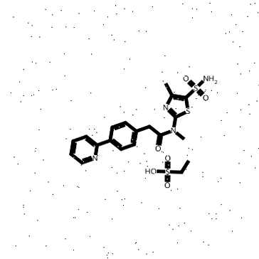 CCS(=O)(=O)O.Cc1nc(N(C)C(=O)Cc2ccc(-c3ccccn3)cc2)sc1S(N)(=O)=O